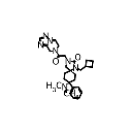 CN(C)[C@]1(c2ccccc2)CC[C@@]2(CC1)CN(CC(=O)N1CCn3ncnc3C1)C(=O)N2CC1CCC1